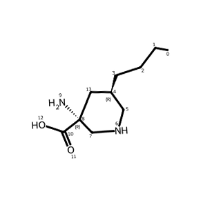 CCCC[C@H]1CNC[C@@](N)(C(=O)O)C1